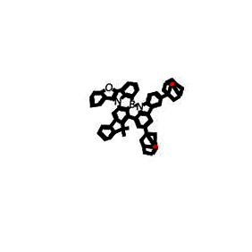 CC1(C)c2ccccc2-c2cc3c4c(c21)-c1cc(C25CC6CC(CC(C6)C2)C5)cc2c5cc(C67CC8CC(CC(C8)C6)C7)ccc5n(c12)B4c1cccc2c4oc5ccccc5c4n-3c12